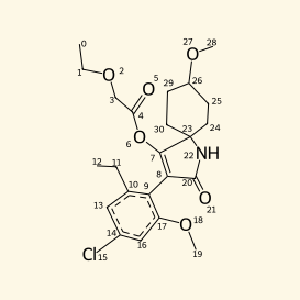 CCOCC(=O)OC1=C(c2c(CC)cc(Cl)cc2OC)C(=O)NC12CCC(OC)CC2